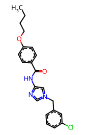 CCCCOc1ccc(C(=O)Nc2cn(Cc3cccc(Cl)c3)cn2)cc1